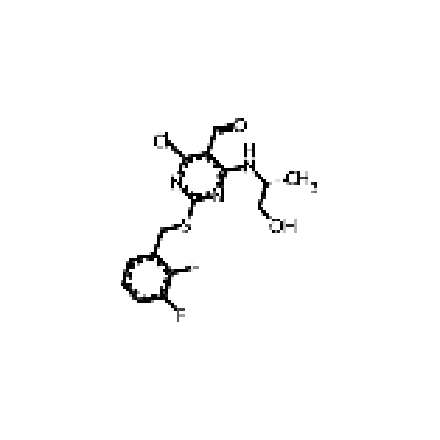 C[C@H](CO)Nc1nc(SCc2cccc(F)c2F)nc(Cl)c1C=O